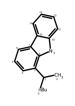 CCCCC(C)c1cccc2c1[N]c1ccccc1-2